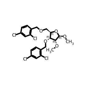 CO[C@@H]1O[C@H](COCc2ccc(Cl)cc2Cl)[C@@H](OCc2ccc(Cl)cc2Cl)[C@H]1OC